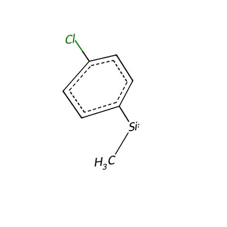 C[Si]c1ccc(Cl)cc1